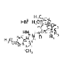 Br.CCC[C@@H]1CN(CC(=O)c2cc(C(C)(C)C)c(O)c(C(C)(C)C)c2)C(=N)[C@@H]1c1ccc(OC)cc1